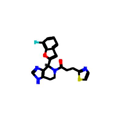 O=C(CCc1nccs1)N1CCc2[nH]cnc2[C@H]1c1cc2cccc(F)c2o1